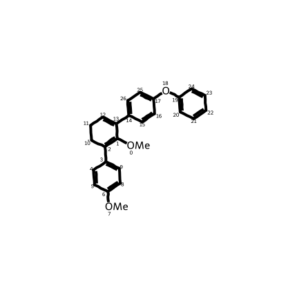 COC1=C(c2ccc(OC)cc2)[CH]CC=C1c1ccc(Oc2ccccc2)cc1